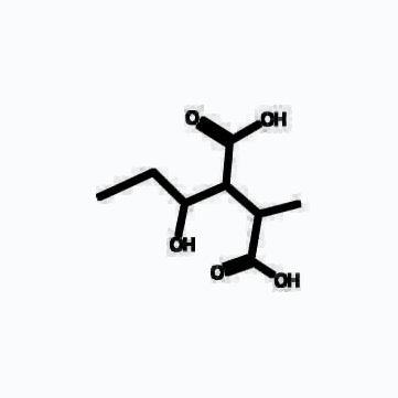 CCC(O)C(C(=O)O)C(C)C(=O)O